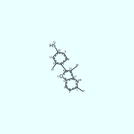 Cc1ccc2oc(-c3ccc(S)cc3C)c(C)c2n1